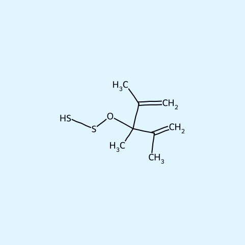 C=C(C)C(C)(OSS)C(=C)C